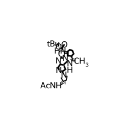 CC(=O)NC[C@@H]1CCN(c2cc3c(N[C@@H](C)c4cccc(NC(=O)OC(C)(C)C)c4)nc(C)nc3cn2)C1